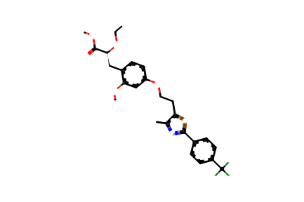 CCO[C@@H](Cc1ccc(OCCc2sc(-c3ccc(C(F)(F)F)cc3)nc2C)cc1OC)C(=O)OC